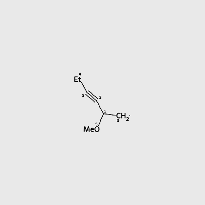 [CH2]C(C#CCC)OC